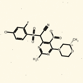 Cc1nc(C(C#N)S(=O)(=O)c2ccc(Cl)cc2F)c([N+](=O)[O-])c(N2CCO[C@@H](C)C2)n1